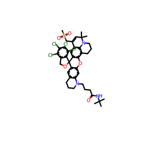 CC(C)(C)NC(=O)CCCN1CCCc2cc3c(cc21)Oc1c(cc2c4c1CCCN4C(C)(C)C=C2CS(C)(=O)=O)C31OCc2c(Cl)c(Cl)c(Cl)c(Cl)c21